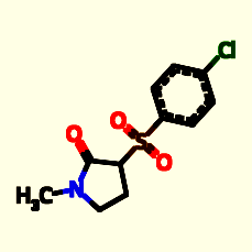 CN1CCC(S(=O)(=O)c2ccc(Cl)cc2)C1=O